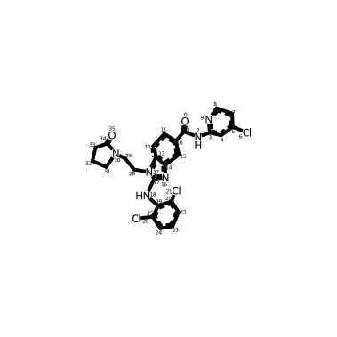 O=C(Nc1cc(Cl)ccn1)c1ccc2c(c1)nc(Nc1c(Cl)cccc1Cl)n2CCN1CCCC1=O